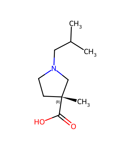 CC(C)CN1CC[C@@](C)(C(=O)O)C1